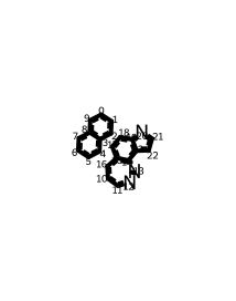 c1ccc2ccccc2c1.c1cnnc2c(c1)ccc1nccc12